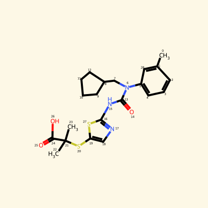 Cc1cccc(N(CC2CCCC2)C(=O)Nc2ncc(SC(C)(C)C(=O)O)s2)c1